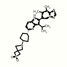 Cc1c(-c2[nH]c3ccc([C@H]4CC[C@H](N5CC6(C5)CS(=O)(=O)C6)CC4)nc3c2C(C)C)cn2ncnc2c1C